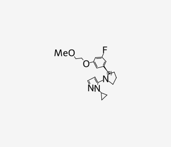 COCCOc1cc(F)cc([C@H]2CCCN2c2ccnn2C2CC2)c1